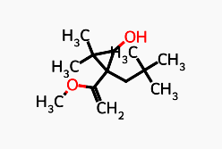 C=C(OC)C1(CC(C)(C)C)C(O)C1(C)C